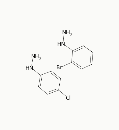 NNc1ccc(Cl)cc1.NNc1ccccc1Br